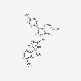 CCOC(=O)/C=C\n1c(-c2ccc(Cl)cc2)nn(CC(=O)NC(C)(C)c2cccc(C(F)(F)F)c2)c1=O